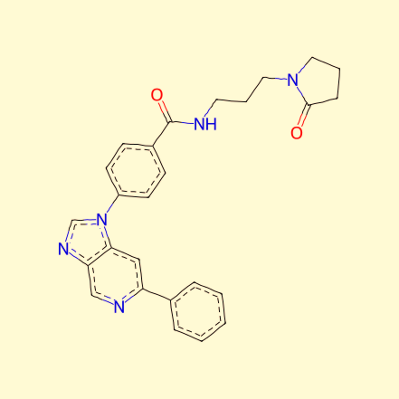 O=C(NCCCN1CCCC1=O)c1ccc(-n2cnc3cnc(-c4ccccc4)cc32)cc1